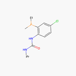 CCP(C)c1cc(Cl)ccc1NC(=O)NC(C)C